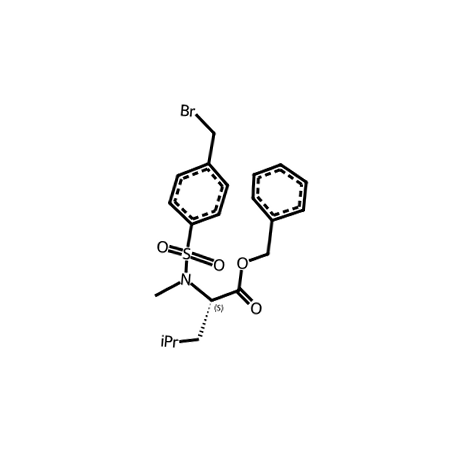 CC(C)C[C@@H](C(=O)OCc1ccccc1)N(C)S(=O)(=O)c1ccc(CBr)cc1